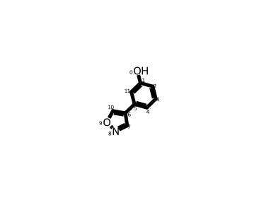 Oc1cccc(-c2cnoc2)c1